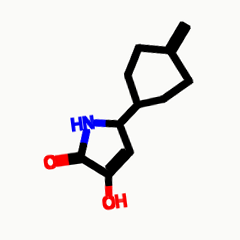 C=C1CCC(C2C=C(O)C(=O)N2)CC1